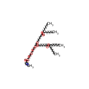 CCCCCCCCC(CCCCCCCC)OC(=O)CCCCCCCOCC(COCCOCCOCCOCCOC(=O)C1CCN(C)C1)OCCCCCCCC(=O)OC(CCCCCCCC)CCCCCCCC